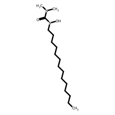 CCCCCCCCCCCCCCN(O)C(=O)N(C)C